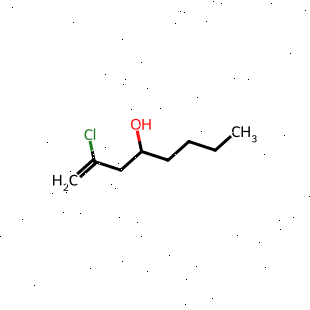 C=C(Cl)CC(O)CCCC